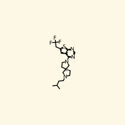 CC(C)CCN1CC[C@]2(CCN(c3ncnc4sc(CC(F)(F)F)cc34)C2)C1